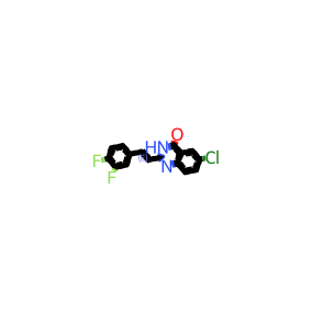 O=c1[nH]c(/C=C/c2ccc(F)c(F)c2)nc2ccc(Cl)cc12